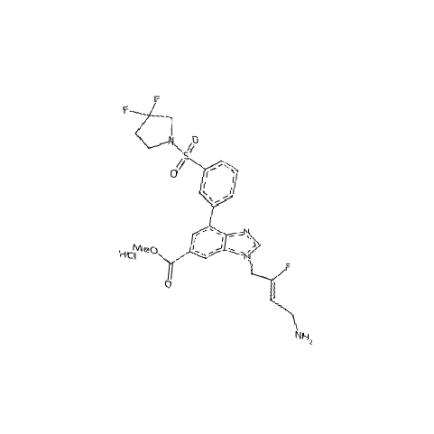 COC(=O)c1cc(-c2cccc(S(=O)(=O)N3CCC(F)(F)C3)c2)c2ncn(C/C(F)=C/CN)c2c1.Cl